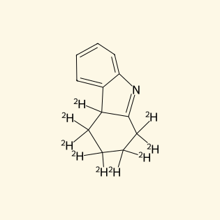 [2H]C1([2H])C2=Nc3ccccc3C2([2H])C([2H])([2H])C([2H])([2H])C1([2H])[2H]